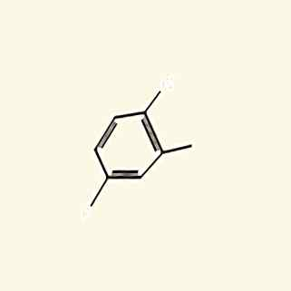 Cc1cc(F)ccc1Cl